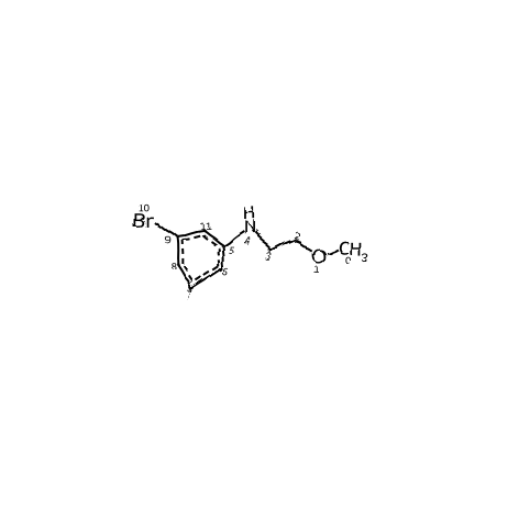 COCCNc1cccc(Br)c1